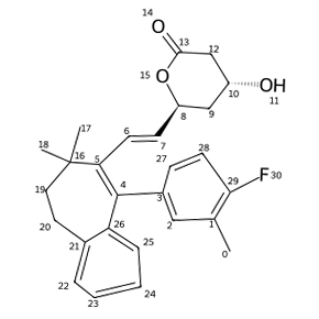 Cc1cc(C2=C(/C=C/[C@@H]3C[C@@H](O)CC(=O)O3)C(C)(C)CCc3ccccc32)ccc1F